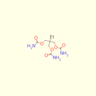 CCC(COC(N)=O)(COC(N)=O)COC(N)=O